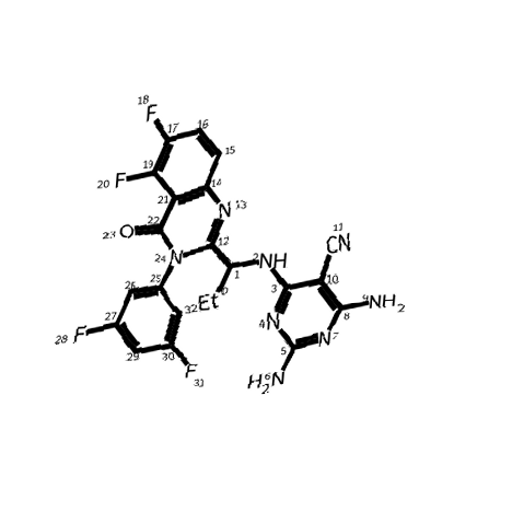 CCC(Nc1nc(N)nc(N)c1C#N)c1nc2ccc(F)c(F)c2c(=O)n1-c1cc(F)cc(F)c1